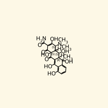 CN(C)[C@@H]1C(O)=C(C(N)=O)C(=O)[C@@]2(O)C(=O)C3=C(O)c4c(O)cccc4[C@@](C)(O)[C@H]3[C@H](O)[C@@H]12